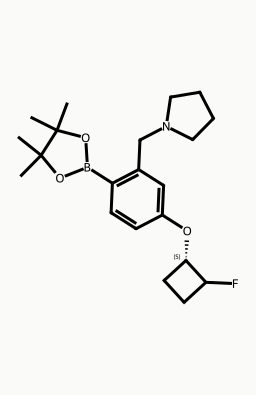 CC1(C)OB(c2ccc(O[C@H]3CCC3F)cc2CN2CCCC2)OC1(C)C